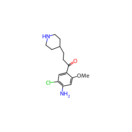 COc1cc(N)c(Cl)cc1C(=O)CCC1CCNCC1